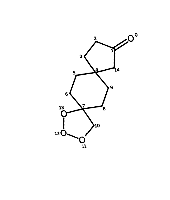 O=C1CCC2(CCC3(CC2)COOO3)C1